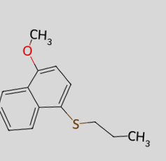 CCCSc1ccc(OC)c2ccccc12